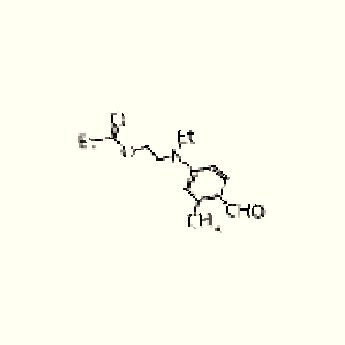 CCC(=O)OCCN(CC)c1ccc(C=O)c(C)c1